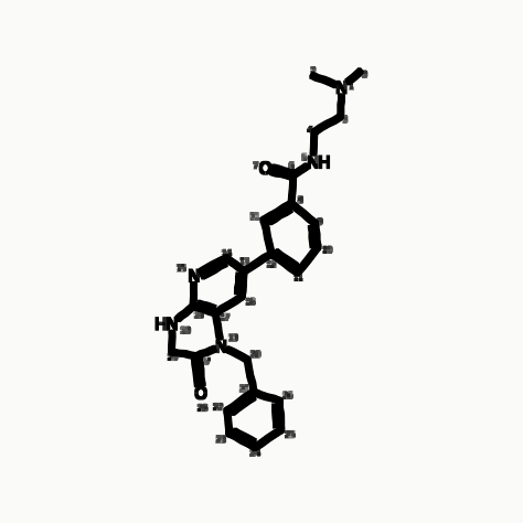 CN(C)CCNC(=O)c1cccc(-c2cnc3c(c2)N(Cc2ccccc2)C(=O)CN3)c1